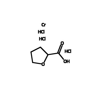 Cl.Cl.Cl.O=C(O)C1CCCO1.[Cr]